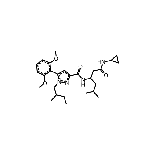 CCC(C)Cn1nc(C(=O)NC(CC(=O)NC2CC2)CC(C)C)cc1-c1c(OC)cccc1OC